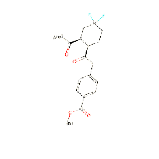 COC(=O)[C@H]1CC(F)(F)CC[C@H]1C(=O)Cc1ccc(C(=O)OC(C)(C)C)cc1